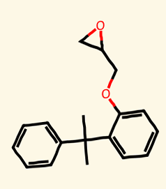 CC(C)(c1ccccc1)c1ccccc1OCC1CO1